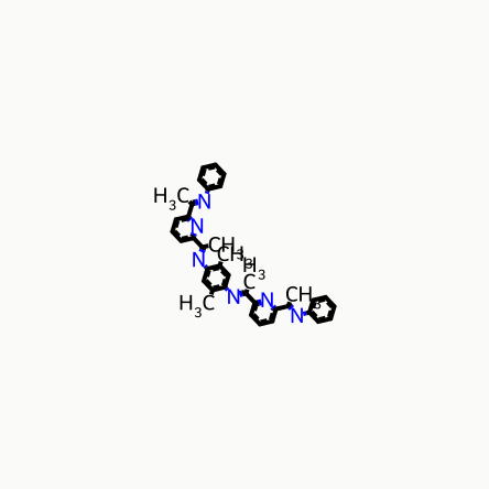 C/C(=N\c1ccccc1)c1cccc(/C(C)=N/c2cc(C)c(/N=C(\C)c3cccc(/C(C)=N/c4ccccc4)n3)cc2C)n1